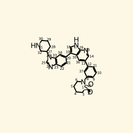 O=S1(=O)CCCCN1c1cccc(-c2cnc3[nH]cc(-c4ccc5ncn(C6CCCNC6)c5c4)c3c2)c1